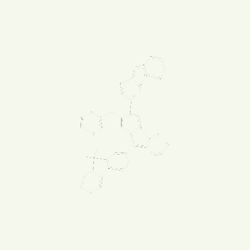 CC1(C)c2ccccc2-c2ccc(-n3c4ccccc4c4cc(-c5ccc6oc7ccccc7c6c5)c(Nc5ccccc5)cc43)cc21